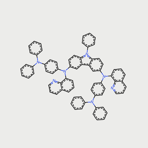 c1ccc(N(c2ccccc2)c2ccc(N(c3ccc4c(c3)c3cc(N(c5ccc(N(c6ccccc6)c6ccccc6)cc5)c5cccc6cccnc56)ccc3n4-c3ccccc3)c3cccc4cccnc34)cc2)cc1